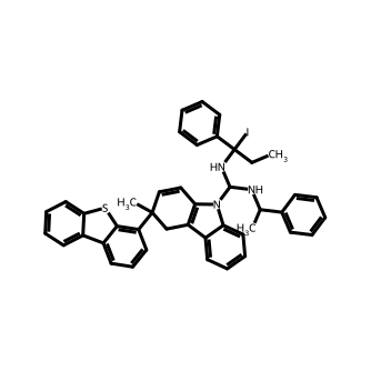 CCC(I)(NC(NC(C)c1ccccc1)n1c2c(c3ccccc31)CC(C)(c1cccc3c1sc1ccccc13)C=C2)c1ccccc1